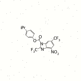 CC(C)c1ccc(OC(=O)n2c(C(F)(F)F)nc3c([N+](=O)[O-])cc(C(F)(F)F)cc32)cc1